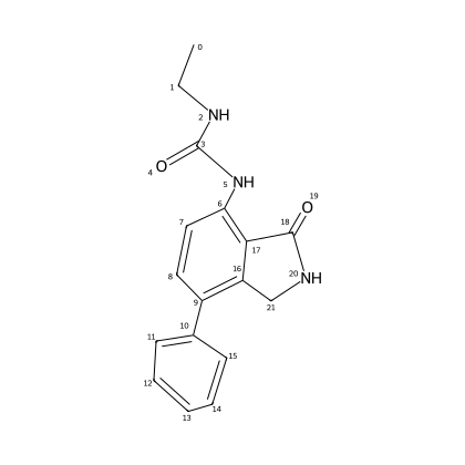 CCNC(=O)Nc1ccc(-c2ccccc2)c2c1C(=O)NC2